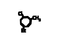 CC/C1=C/C/C(Cl)=C\C(C)=C=C1